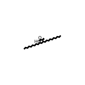 C=CC(=O)O.CCCCCCCCCCCCCCCCCCCCCC